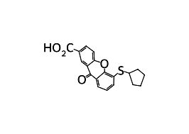 O=C(O)c1ccc2oc3c(SC4CCCC4)cccc3c(=O)c2c1